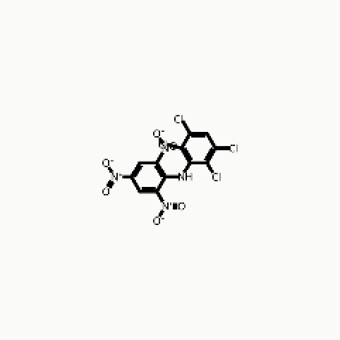 O=[N+]([O-])c1cc([N+](=O)[O-])c(Nc2c(Cl)c(Cl)cc(Cl)c2Cl)c([N+](=O)[O-])c1